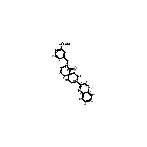 COc1cc(CN2CCCC3(CCN(c4cnc5ccccc5n4)CC3)C2=O)ccn1